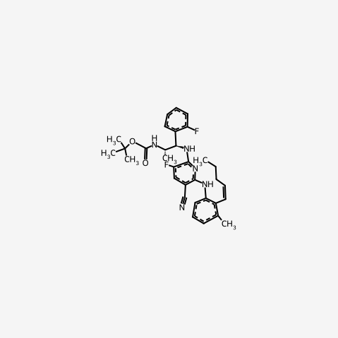 CCC/C=C\c1c(C)cccc1Nc1nc(N[C@H](c2ccccc2F)[C@H](C)NC(=O)OC(C)(C)C)c(F)cc1C#N